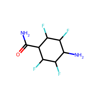 NC(=O)C1C(F)C(F)C(N)C(F)C1F